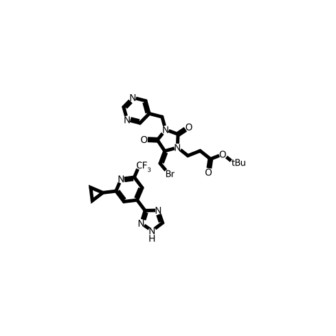 CC(C)(C)OC(=O)CCN1C(=O)N(Cc2cncnc2)C(=O)/C1=C/Br.FC(F)(F)c1cc(-c2nc[nH]n2)cc(C2CC2)n1